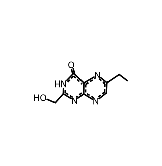 CCc1cnc2nc(CO)[nH]c(=O)c2n1